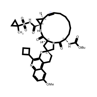 COc1ccc2nc(C3CCC3)c3c(c2c1)CC[C@]1(C[C@H]2C(=O)N[C@]4(C(=O)NS(=O)(=O)C5(C)CC5)C[C@H]4/C=C\CCCCC[C@H](NC(=O)OCC(C)C)C(=O)N2C1)O3